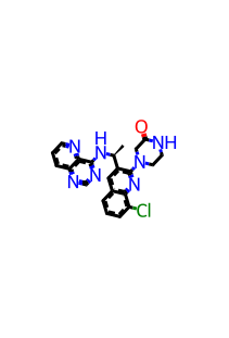 C[C@H](Nc1ncnc2cccnc12)c1cc2cccc(Cl)c2nc1N1CCNC(=O)C1